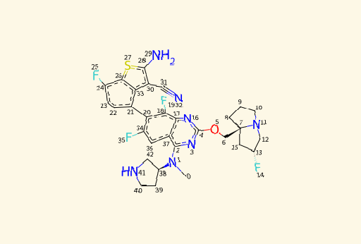 CN(c1nc(OC[C@@]23CCCN2C[C@H](F)C3)nc2c(F)c(-c3ccc(F)c4sc(N)c(C#N)c34)c(F)cc12)[C@H]1CCNC1